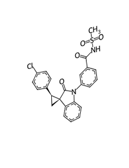 CS(=O)(=O)NC(=O)c1cccc(N2C(=O)[C@]3(C[C@H]3c3ccc(Cl)cc3)c3ccccc32)c1